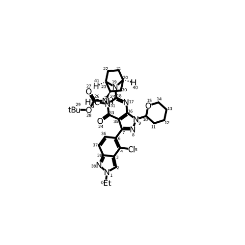 CCn1cc2c(Cl)c(-c3nn(C4CCCCO4)c4nc(N5[C@H]6CC[C@@H]5[C@H](NC(=O)OC(C)(C)C)C6)n(C)c(=O)c34)ccc2n1